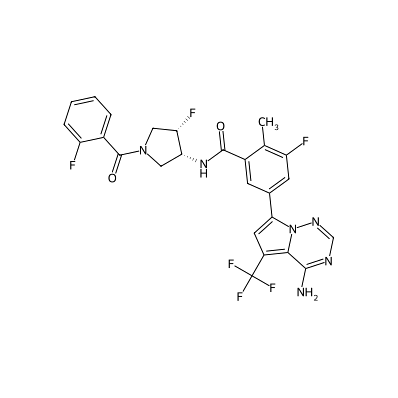 Cc1c(F)cc(-c2cc(C(F)(F)F)c3c(N)ncnn23)cc1C(=O)N[C@@H]1CN(C(=O)c2ccccc2F)C[C@@H]1F